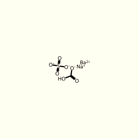 O=C([O-])O.O=S(=O)([O-])[O-].[Ba+2].[Na+]